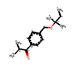 CCC(C)(C)OCc1ccc(C(=O)C(C)C)cc1